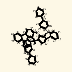 CC1(c2ccccc2)c2ccc3c4ccccc4n(-c4ccc(-c5ccccc5)cc4)c3c2Oc2ccc3c4ccccc4n(-c4ccc(-c5ccccc5)cc4)c3c21